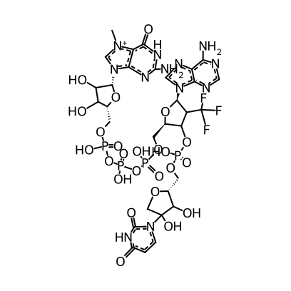 C[n+]1cn([C@@H]2O[C@H](COP(=O)(O)OP(=O)(O)OP(=O)(O)OC[C@H]3O[C@@H](n4cnc5c(N)ncnc54)C(C(F)(F)F)C3OP(=O)(O)OC[C@H]3OCC(O)(n4ccc(=O)[nH]c4=O)C3O)C(O)C2O)c2nc(N)[nH]c(=O)c21